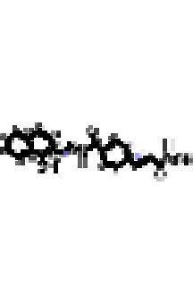 O=C(/C=C/c1ccc(C(=O)N/N=C/c2ccc3ccccc3c2O)cc1)NO